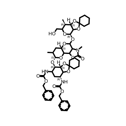 CC1C[C@@H]2OC(O[C@H]3OC(CO)[C@@H](C)[C@@H]4OC5(CCCCC5)OC34)C3C(OC(=O)N3C)C2O[C@@H]1O[C@@H]1C(NC(=O)OCc2ccccc2)C[C@@H](NC(=O)OCc2ccccc2)C2OC3(CCCCC3)O[C@H]21